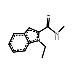 CCn1c(C(=O)NC)cc2ccccc21